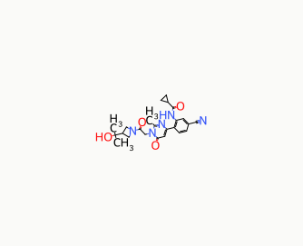 Cc1nc(-c2ccc(C#N)cc2NC(=O)C2CC2)cc(=O)n1CC(=O)N1CC(C(C)(C)O)C1